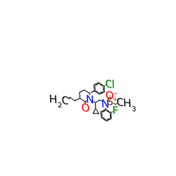 C=CCC1CC[C@@H](c2ccc(Cl)cc2)N(C(CN(c2ccccc2F)[S+]([O-])CC)C2CC2)C1=O